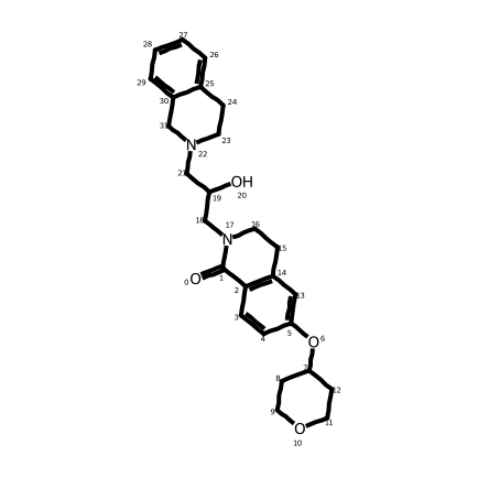 O=C1c2ccc(OC3CCOCC3)cc2CCN1CC(O)CN1CCc2ccccc2C1